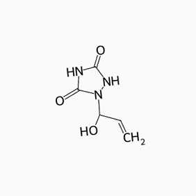 C=CC(O)n1[nH]c(=O)[nH]c1=O